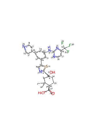 CC1(C)C[C@@](O)(c2ncc(-c3cc(Nc4nccc(C(F)(F)F)n4)cc(-c4ccncc4)c3)s2)CC[C@H]1C(=O)O